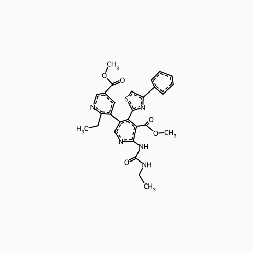 CCNC(=O)Nc1ncc(-c2cc(C(=O)OC)cnc2CC)c(-c2nc(-c3ccccc3)cs2)c1C(=O)OC